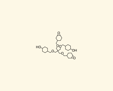 OC1CCC(COCC(COCC2CCC(O)CC2)(COCC2CCC3OC3C2)COCC2CCC3OC3C2)CC1